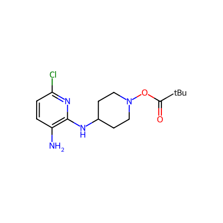 CC(C)(C)C(=O)ON1CCC(Nc2nc(Cl)ccc2N)CC1